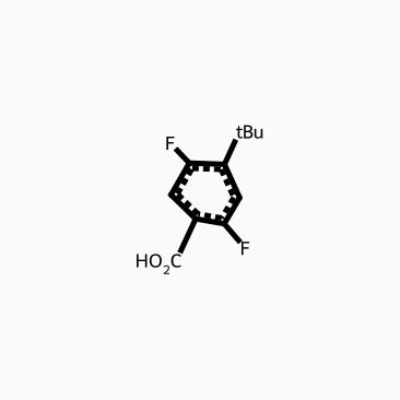 CC(C)(C)c1cc(F)c(C(=O)O)cc1F